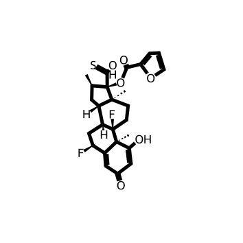 C[C@@H]1C[C@H]2[C@@H]3C[C@H](F)C4=CC(=O)C=C(O)[C@]4(C)[C@@]3(F)CC[C@]2(C)[C@@]1(OC(=O)c1ccco1)C(O)=S